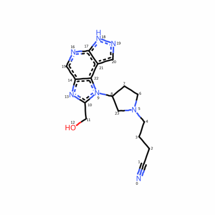 N#CCCCN1CCC(n2c(CO)nc3cnc4[nH]ncc4c32)C1